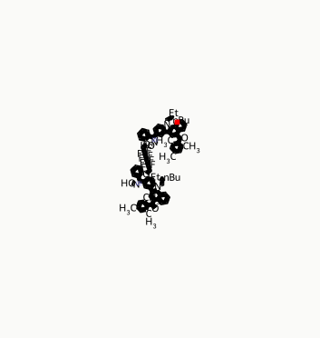 CCCCC(CC)Cn1c2ccc(/C(=N/O)c3ccccc3OCC(F)(F)C(F)(F)C(F)(F)C(F)(F)COc3ccccc3/C(=N\O)c3ccc4c(c3)c3cc(C(=O)c5c(C)cc(C)cc5C)c5ccccc5c3n4CC(CC)CCCC)cc2c2cc(C(=O)c3c(C)cc(C)cc3C)c3ccccc3c21